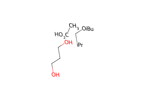 CC(=O)O.CC(C)COCC(C)C.OCCCO